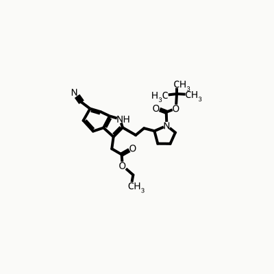 CCOC(=O)Cc1c(CCC2CCCN2C(=O)OC(C)(C)C)[nH]c2cc(C#N)ccc12